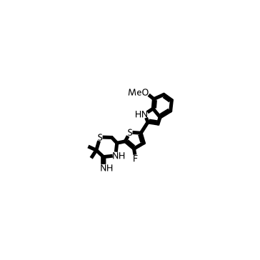 COc1cccc2cc(-c3cc(F)c(C4CSC(C)(C)C(=N)N4)s3)[nH]c12